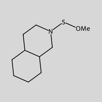 COSN1CCC2CCCCC2C1